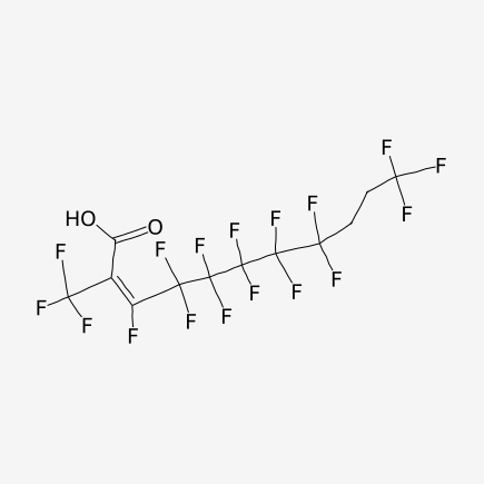 O=C(O)C(=C(F)C(F)(F)C(F)(F)C(F)(F)C(F)(F)C(F)(F)CCC(F)(F)F)C(F)(F)F